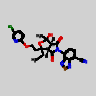 CCC1(CCOc2ccc(Cl)cn2)OC(C)(O)[C@H]2C(=O)N(c3ccc(C#N)c4nsnc34)C(=O)[C@H]21